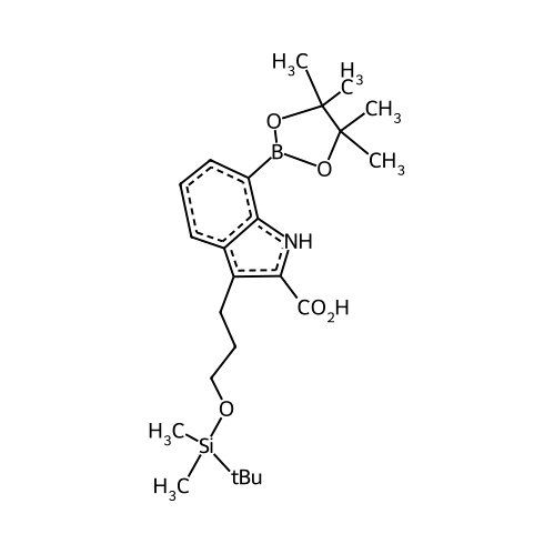 CC1(C)OB(c2cccc3c(CCCO[Si](C)(C)C(C)(C)C)c(C(=O)O)[nH]c23)OC1(C)C